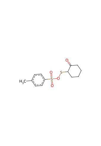 Cc1ccc(S(=O)(=O)OSC2CCCCC2=O)cc1